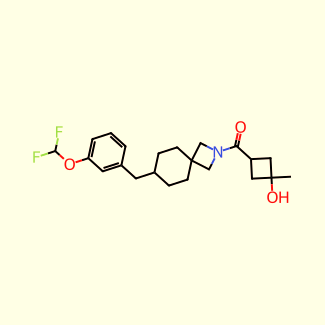 CC1(O)CC(C(=O)N2CC3(CCC(Cc4cccc(OC(F)F)c4)CC3)C2)C1